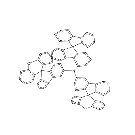 c1ccc2c(c1)Oc1ccccc1C21c2ccccc2-c2cc(N(c3ccc4c(c3)-c3ccccc3C43c4ccccc4Sc4ccccc43)c3cccc4c3-c3ccccc3C43c4ccccc4-c4ccccc43)ccc21